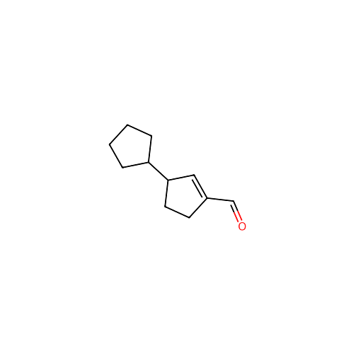 O=CC1=CC(C2CCCC2)CC1